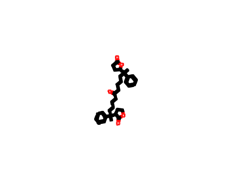 CC(CCCCC(=O)CCCCC(C)(c1ccccc1)C1CCOC1=O)(c1ccccc1)C1CCC(=O)O1